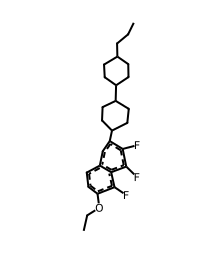 CCCC1CCC(C2CCC(c3cc4ccc(OCC)c(F)c4c(F)c3F)CC2)CC1